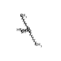 CCCCCCCCCCCCOP(OCCCCCCCCCCCC)OCCCC(S)S